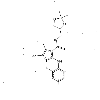 CC(=O)c1sc(Nc2ccc(C)cc2F)c(C(=O)NCC2COC(C)(C)O2)c1C